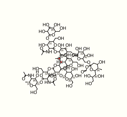 CC(=O)NC1C(O)[C@H](O[C@@H]2OC(CO)[C@H](O)[C@H](O)C2O)C(CO)O[C@H]1OC1[C@@H](OCC2O[C@@H](O[C@@H]3C(CO)O[C@@H](O[C@@H]4C(CO)O[C@@H](C)C(NC(C)=O)[C@H]4O)C(NC(C)=O)[C@H]3O)C(O)[C@@H](O[C@H]3O[C@H](CO)[C@@H](O)C(O)C3O[C@@H]3OC(CO)[C@@H](O[C@@H]4OC(CO[C@]5(OC=O)CC(O)[C@@H](C)C([C@H](O)C(O)CO)O5)[C@H](O)[C@H](O)C4O)[C@H](O)C3NC(C)=O)[C@@H]2O)OC(CO)[C@@H](O)[C@@H]1O